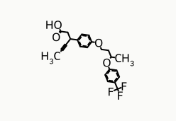 CC#CC(CC(=O)O)c1ccc(OCCC(C)Oc2ccc(C(F)(F)F)cc2)cc1